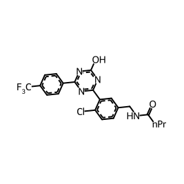 CCCC(=O)NCc1ccc(Cl)c(-c2nc(O)nc(-c3ccc(C(F)(F)F)cc3)n2)c1